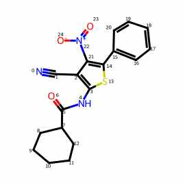 N#Cc1c(NC(=O)C2CCCCC2)sc(-c2ccccc2)c1[N+](=O)[O-]